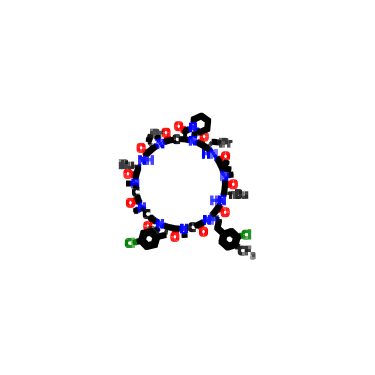 CCCC[C@@H]1NC(=O)[C@H](CCc2ccc(C(F)(F)F)c(Cl)c2)NC(=O)CN(C)C(=O)[C@H](Cc2ccc(Cl)cc2)N(CC)C(=O)CN(C)C(=O)CN(C)C(=O)[C@H]([C@@H](C)CC)NC(=O)[C@H](CC(C)C)N(C)C(=O)C[C@@H](C(=O)N2CCCCC2)N(C)C(=O)[C@H](CC(C)C)NC(=O)C(C)(C)N(C)C1=O